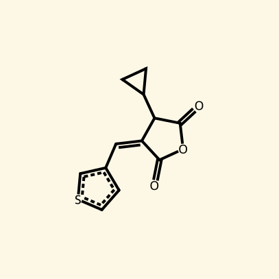 O=C1OC(=O)C(C2CC2)C1=Cc1ccsc1